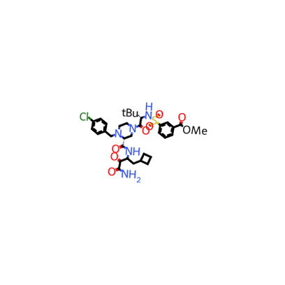 COC(=O)c1cccc(S(=O)(=O)N[C@H](C(=O)N2CCN(Cc3ccc(Cl)cc3)[C@@H](C(=O)NC(CC3CCC3)C(=O)C(N)=O)C2)C(C)(C)C)c1